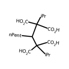 CCCCCC(C(C(=O)O)(C(=O)O)C(C)C)C(C(=O)O)(C(=O)O)C(C)C